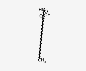 CCCCCCCCCCCCCCCCC=CCCCCCCCCOC(=O)C(O)CC(=O)O